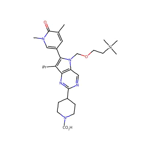 Cc1cc(-c2c(C(C)C)c3nc(C4CCN(C(=O)O)CC4)ncc3n2COCC[Si](C)(C)C)cn(C)c1=O